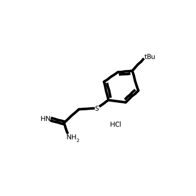 CC(C)(C)c1ccc(SCC(=N)N)cc1.Cl